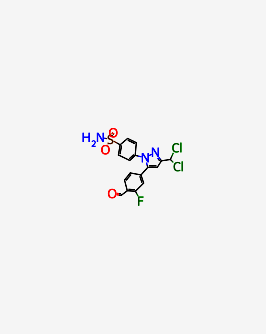 NS(=O)(=O)c1ccc(-n2nc(C(Cl)Cl)cc2-c2ccc(C=O)c(F)c2)cc1